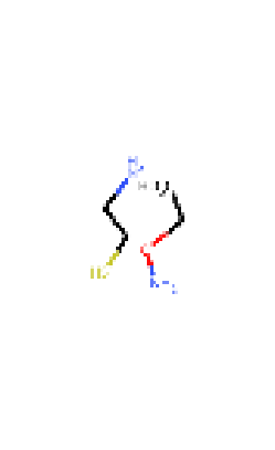 NCCS.NOCC(=O)O